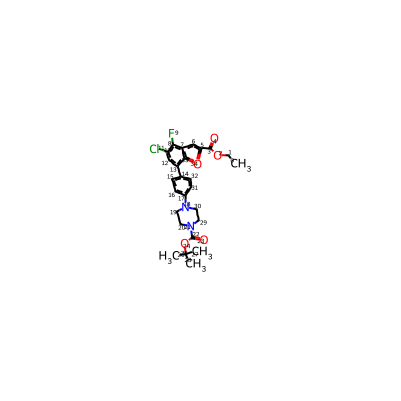 CCOC(=O)c1cc2c(F)c(Cl)cc(-c3ccc(N4CCN(C(=O)OC(C)(C)C)CC4)cc3)c2o1